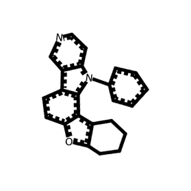 c1ccc(-n2c3ccncc3c3ccc4oc5c(c4c32)CCCC5)cc1